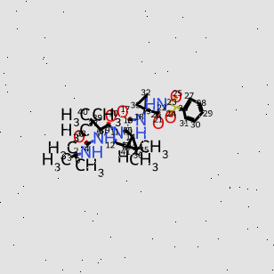 CC(C)(C)NC(=O)N[C@H](C(=O)N1C[C@H]2C([C@H]1C(=O)NC1(C(=O)NS(=O)(=O)c3ccccc3)CC1)C2(C)C)C(C)(C)C